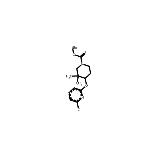 CC(C)(C)OC(=O)N1CCC(Oc2cncc(Cl)n2)C(C)(C)C1